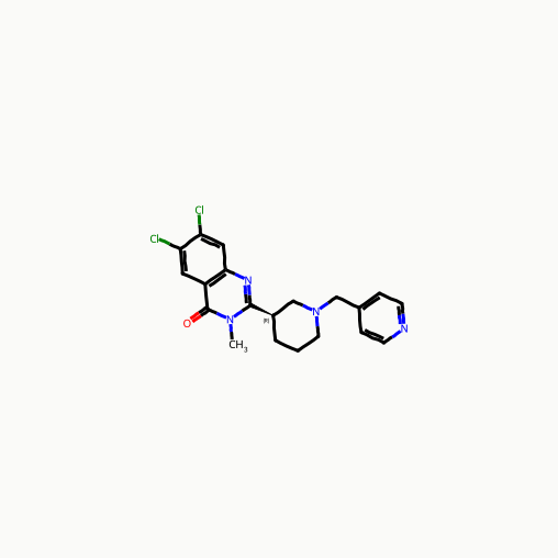 Cn1c([C@@H]2CCCN(Cc3ccncc3)C2)nc2cc(Cl)c(Cl)cc2c1=O